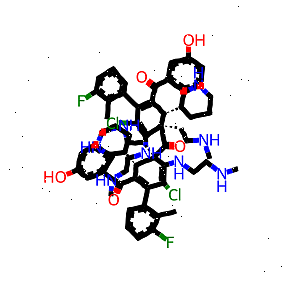 CNCCNC1=C(Cl)C(c2cccc(F)c2C)=C(C(=O)c2cccc(O)c2)[C@H](C2CCCNC2)[C@@]1(CCNC)C(=O)[C@@]1(CCNC)C(NCCNC)=C(Cl)C(c2cccc(F)c2C)=C(C(=O)c2cccc(O)c2)[C@@H]1C1CCCNC1